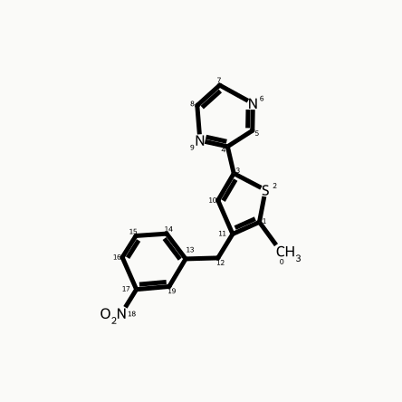 Cc1sc(-c2cnccn2)cc1Cc1cccc([N+](=O)[O-])c1